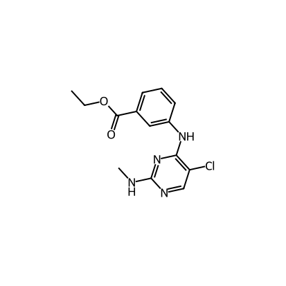 CCOC(=O)c1cccc(Nc2nc(NC)ncc2Cl)c1